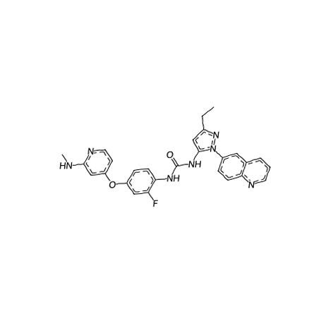 CCc1cc(NC(=O)Nc2ccc(Oc3ccnc(NC)c3)cc2F)n(-c2ccc3ncccc3c2)n1